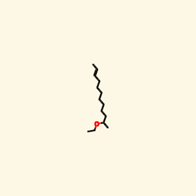 CC=CCCCCCCCC(C)OCC